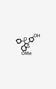 COc1ccc2c(C(=O)c3ccccc3)c(-c3ccc(O)cc3)sc2c1